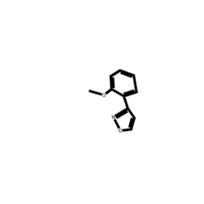 COc1ccccc1-c1c[c]on1